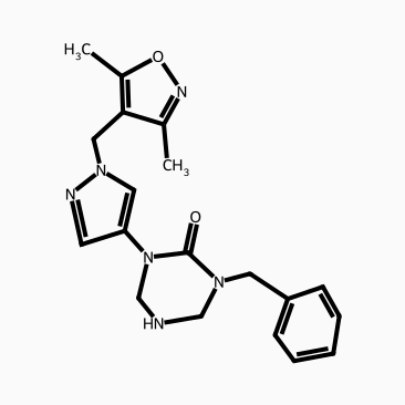 Cc1noc(C)c1Cn1cc(N2CNCN(Cc3ccccc3)C2=O)cn1